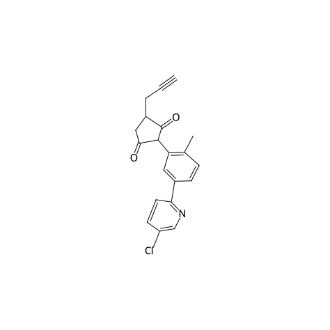 C#CCC1CC(=O)C(c2cc(-c3ccc(Cl)cn3)ccc2C)C1=O